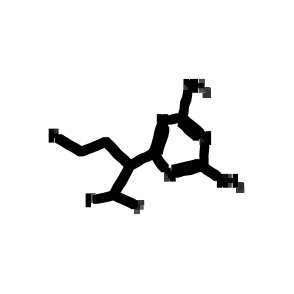 Nc1nc(N)nc(C(CCF)C(F)F)n1